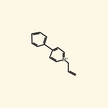 C=CC[n+]1ccc(-c2ccccc2)cc1